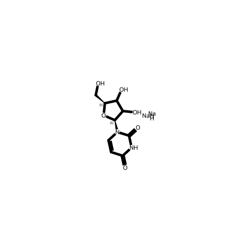 O=c1ccn([C@H]2O[C@@H](CO)C(O)C2O)c(=O)[nH]1.[NaH].[NaH]